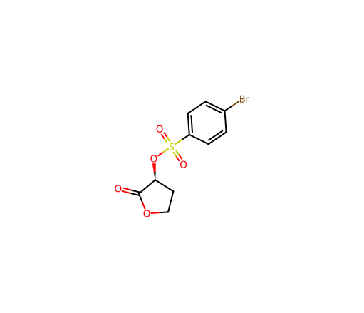 O=C1OCC[C@@H]1OS(=O)(=O)c1ccc(Br)cc1